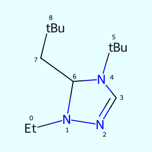 CCN1N=CN(C(C)(C)C)C1CC(C)(C)C